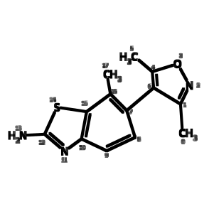 Cc1noc(C)c1-c1ccc2nc(N)sc2c1C